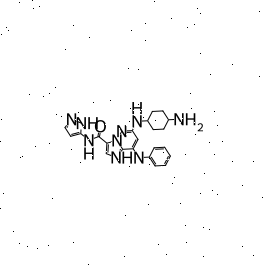 NC1CCC(Nc2cc(Nc3ccccc3)c3ncc(C(=O)Nc4ccn[nH]4)n3n2)CC1